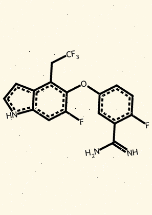 N=C(N)c1cc(Oc2c(F)cc3[nH]ccc3c2CC(F)(F)F)ccc1F